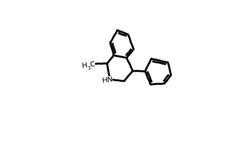 CC1NCC(c2ccccc2)c2ccccc21